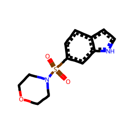 O=S(=O)(c1ccc2cc[nH]c2c1)N1CCOCC1